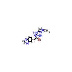 Cn1ccc(NC2=N/C(=C\c3ccc4nccnc4c3)C(=O)N2)n1